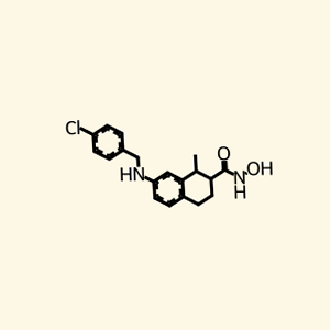 CC1c2cc(NCc3ccc(Cl)cc3)ccc2CCC1C(=O)NO